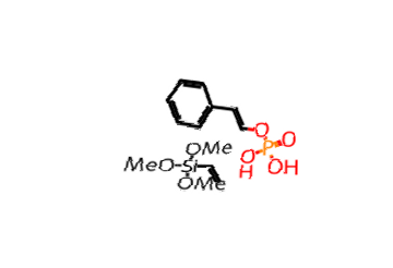 C=C[Si](OC)(OC)OC.O=P(O)(O)OC=Cc1ccccc1